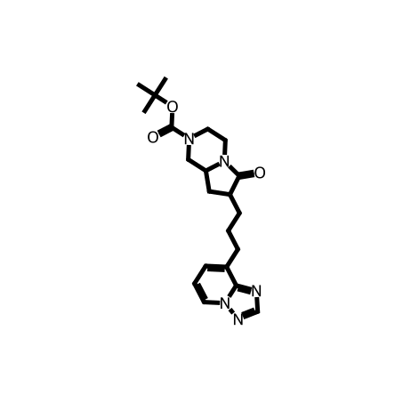 CC(C)(C)OC(=O)N1CCN2C(=O)C(CCCc3cccn4ncnc34)CC2C1